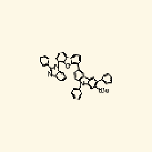 CC(C)(C)c1cc2c(cc1-c1ccccc1)c1cc(-c3cccc4c3oc3c(-n5c(-c6ccccc6)nc6ccccc65)cccc34)ccc1n2-c1ccccc1